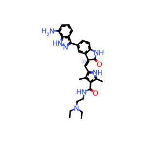 CCN(CC)CCNC(=O)c1c(C)[nH]c(/C=C2\C(=O)Nc3ccc(-c4n[nH]c5c(N)cccc45)cc32)c1C